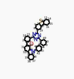 c1ccc(-c2nc(-c3ccc4sc5ccccc5c4c3)nc(-c3cccc4c3oc3c4ccc4c5ccccc5n(-c5ccccc5)c43)n2)cc1